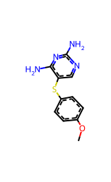 COc1ccc(Sc2cnc(N)nc2N)cc1